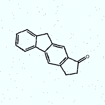 O=C1CCc2cc3c(cc21)Cc1ccccc1-3